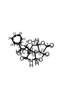 CC(C)(C)[C@]1(O)C[C@@H]2OC(=O)C[C@@]23C(=O)O[C@@H]2NC(=O)[C@@H](OC(=O)c4ccccc4)[C@]213